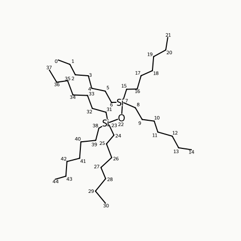 CCCCCCC[Si](CCCCCCC)(CCCCCCC)O[Si](CCCCCCC)(CCCCCCC)CCCCCCC